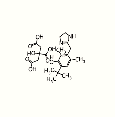 Cc1cc(C(C)(C)C)c(O)c(C)c1CC1=NCCN1.O=C(O)CC(O)(CC(=O)O)C(=O)O